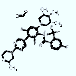 C[C@@H]1CN(c2cc(F)c(-c3cnc(N4CCO[C@@H](C)C4)nc3)c(F)c2NC(=O)c2ccc(F)cc2C(F)(F)F)C[C@H](C)N1C.O=CO